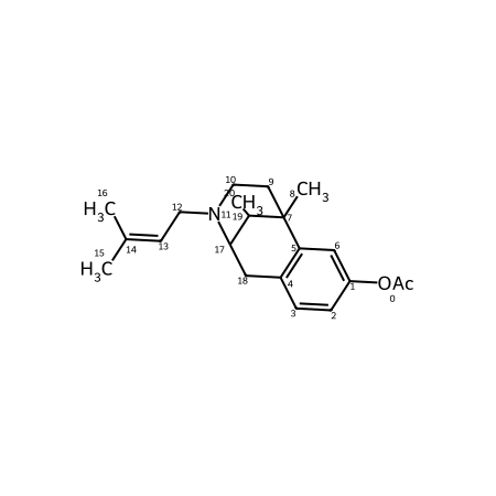 CC(=O)Oc1ccc2c(c1)C1(C)CCN(CC=C(C)C)C(C2)C1C